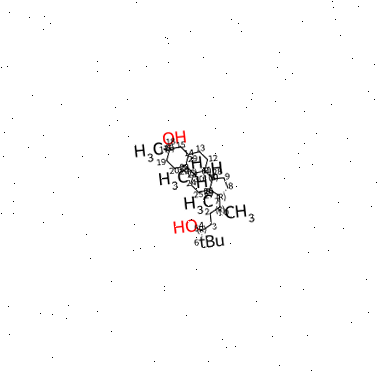 C[C@H](CC[C@@H](O)C(C)(C)C)[C@H]1CC[C@H]2[C@@H]3CCC4C[C@@](C)(O)CC[C@]4(C)[C@H]3CC[C@]12C